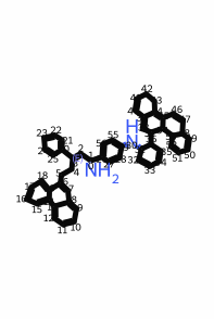 NC(/C=C(\CCc1cc2ccccc2c2ccccc12)c1ccccc1)c1ccc(NC2C=CC=CC2C2C=C3C=CCCC3=C3C=CC4C=CC=CC4C32)cc1